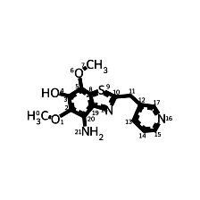 COc1c(O)c(OC)c2sc(Cc3cccnc3)nc2c1N